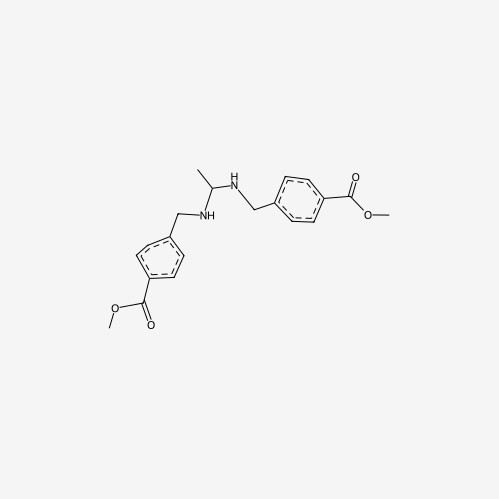 COC(=O)c1ccc(CNC(C)NCc2ccc(C(=O)OC)cc2)cc1